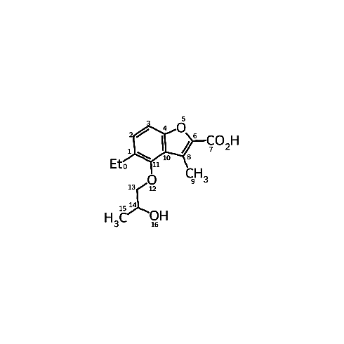 CCc1ccc2oc(C(=O)O)c(C)c2c1OCC(C)O